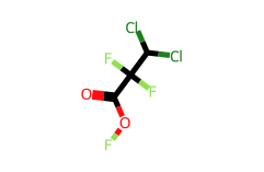 O=C(OF)C(F)(F)C(Cl)Cl